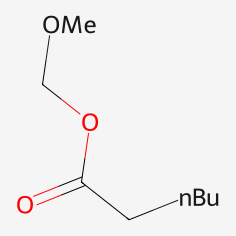 CCCCCC(=O)OCOC